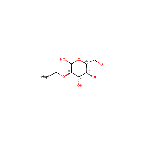 CCCCCCCCO[C@H]1C(O)O[C@H](CO)[C@@H](O)[C@@H]1O